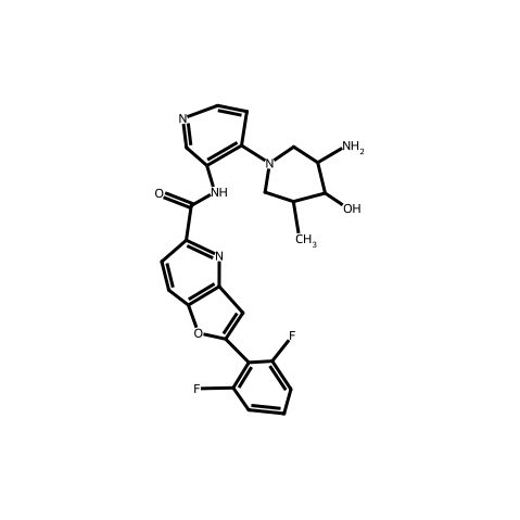 CC1CN(c2ccncc2NC(=O)c2ccc3oc(-c4c(F)cccc4F)cc3n2)CC(N)C1O